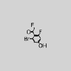 O=C(CF)c1c(F)cc(O)cc1Br